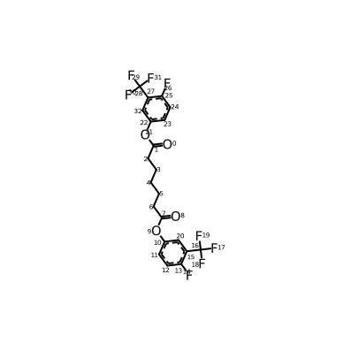 O=C(CCCCCC(=O)Oc1ccc(F)c(C(F)(F)F)c1)Oc1ccc(F)c(C(F)(F)F)c1